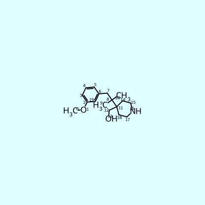 COc1cccc(CC(C)(C)C2(CO)CCNCC2)c1